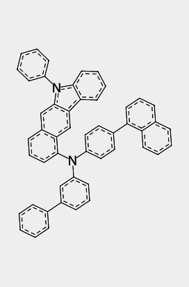 c1ccc(-c2cccc(N(c3ccc(-c4cccc5ccccc45)cc3)c3cccc4cc5c(cc34)c3ccccc3n5-c3ccccc3)c2)cc1